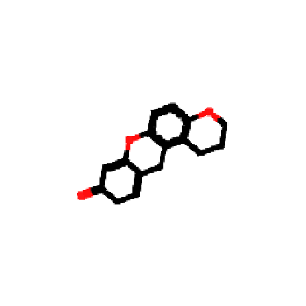 O=C1C=C2Oc3ccc4c(c3CC2=CC1)CCCO4